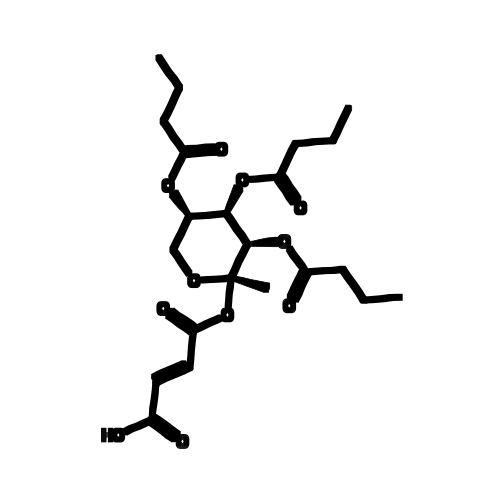 CCCC(=O)O[C@H]1[C@@H](OC(=O)CCC)[C@](C)(OC(=O)/C=C/C(=O)O)OC[C@H]1OC(=O)CCC